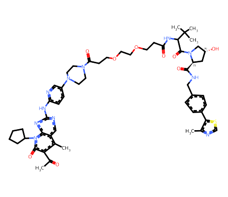 CC(=O)c1c(C)c2cnc(Nc3ccc(N4CCN(C(=O)CCOCCOCCC(=O)NC(C(=O)N5C[C@H](O)C[C@H]5C(=O)NCc5ccc(-c6scnc6C)cc5)C(C)(C)C)CC4)cn3)nc2n(C2CCCC2)c1=O